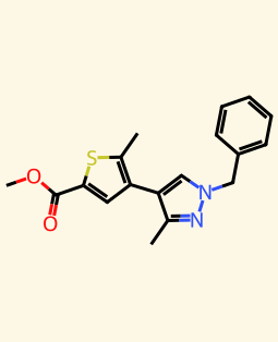 COC(=O)c1cc(-c2cn(Cc3ccccc3)nc2C)c(C)s1